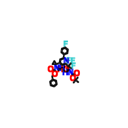 CC(C)(C)OC(=O)NCC(O)(c1cc(C2(NC(=O)OCc3ccccc3)CC2)cc(-c2ccc(F)cc2)n1)C(F)(F)F